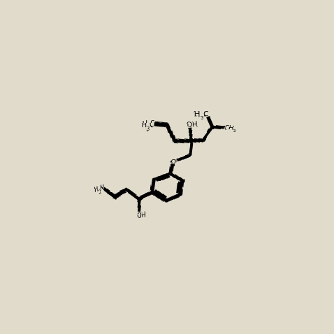 CCCC(O)(COc1cccc(C(O)CCN)c1)CC(C)C